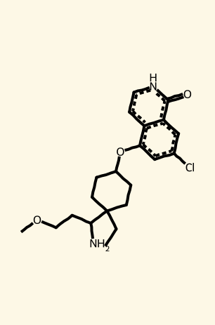 CCC1(C(N)CCOC)CCC(Oc2cc(Cl)cc3c(=O)[nH]ccc23)CC1